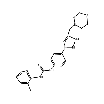 Cc1ccccc1NC(=O)Nc1ccc(N2C=C(CN3CCOCC3)NN2)cc1